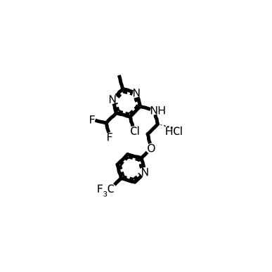 Cc1nc(N[C@H](C)COc2ccc(C(F)(F)F)cn2)c(Cl)c(C(F)F)n1.Cl